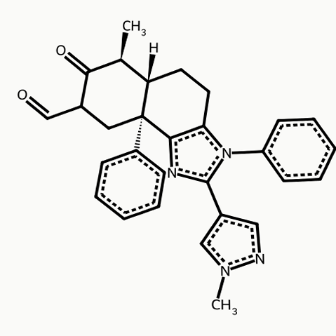 C[C@@H]1C(=O)C(C=O)C[C@]2(c3ccccc3)c3nc(-c4cnn(C)c4)n(-c4ccccc4)c3CC[C@@H]12